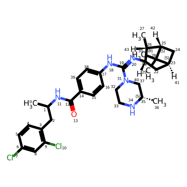 CC(Cc1ccc(Cl)cc1Cl)NC(=O)c1ccc(NC(=N[C@H]2C[C@@H]3C[C@@H]([C@H]2C)C3(C)C)N2CCN[C@@H](C)C2)cc1